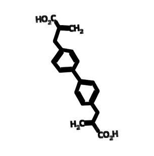 C=C(Cc1ccc(-c2ccc(CC(=C)C(=O)O)cc2)cc1)C(=O)O